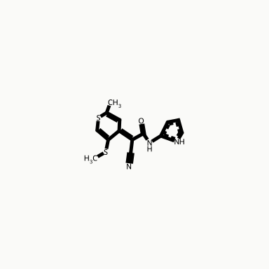 CSC1=CSC(C)=C/C1=C(/C#N)C(=O)Nc1ccc[nH]1